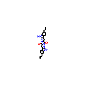 C=CCc1ccc2c(c1)NCC2CC1NC(=O)C(CC2CNc3cc(CC=C)ccc32)NC1=O